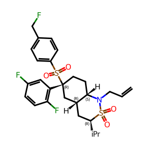 C=CCN1[C@H]2CC[C@@](c3cc(F)ccc3F)(S(=O)(=O)c3ccc(CF)cc3)C[C@H]2C[C@H](C(C)C)S1(=O)=O